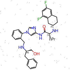 CCC[C@H](N[C@H]1CCc2cc(F)cc(F)c2C1)C(=O)Nc1cn(-c2ccccc2CN[C@@H](CO)Cc2ccccc2)cn1